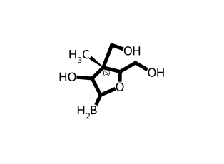 BC1OC(CO)[C@@](C)(CO)C1O